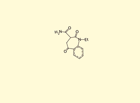 CCN1C(=O)C(C(N)=O)CC(=O)c2ccccc21